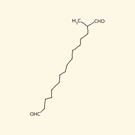 CC([C]=O)CCCCCCCCCCCCC[C]=O